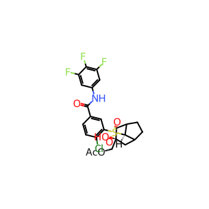 CC(=O)OC[C@]1(O)CC2CCC(C1)[C@H]2S(=O)(=O)c1cc(C(=O)Nc2cc(F)c(F)c(F)c2)ccc1Cl